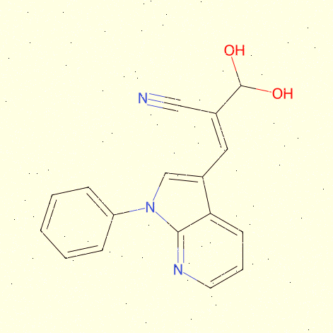 N#C/C(=C\c1cn(-c2ccccc2)c2ncccc12)C(O)O